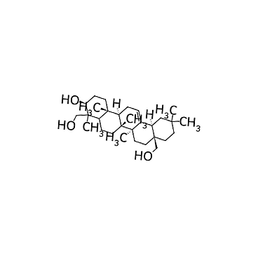 CC1(C)CC[C@]2(CO)CC[C@]3(C)C(=CC[C@@H]4[C@@]5(C)CC[C@H](O)C(C)(CO)C5CC[C@]43C)[C@H]2C1